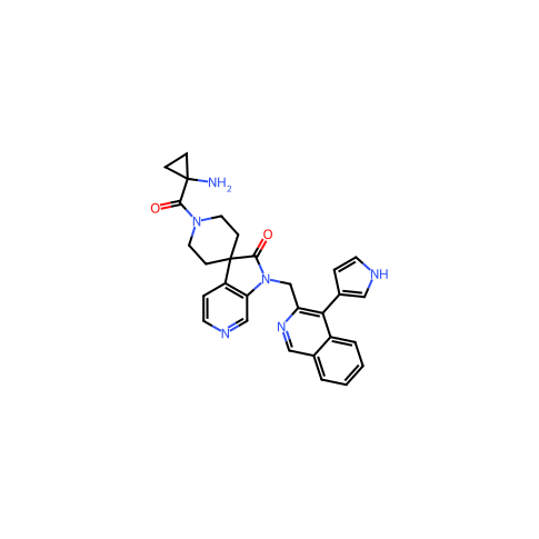 NC1(C(=O)N2CCC3(CC2)C(=O)N(Cc2ncc4ccccc4c2-c2cc[nH]c2)c2cnccc23)CC1